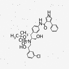 CC(C)(C)OC(=O)N(C[C@@H](O)c1cccc(Cl)c1)[C@H](CO)Cc1ccc(NC(=O)c2c[nH]cc2-c2ccccc2)cc1